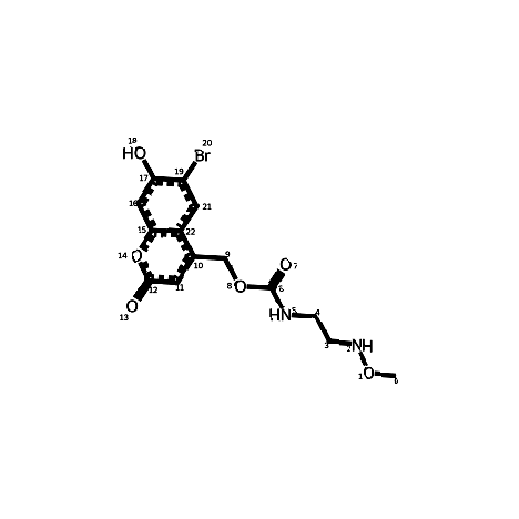 CONCCNC(=O)OCc1cc(=O)oc2cc(O)c(Br)cc12